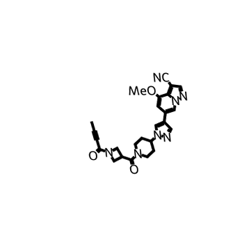 CC#CC(=O)N1CC(C(=O)N2CCC(n3cc(-c4cc(OC)c5c(C#N)cnn5c4)cn3)CC2)C1